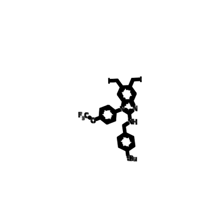 CC(C)(C)c1ccc(CNc2nc3cc(CI)c(CI)cc3n2-c2ccc(OC(F)(F)F)cc2)cc1